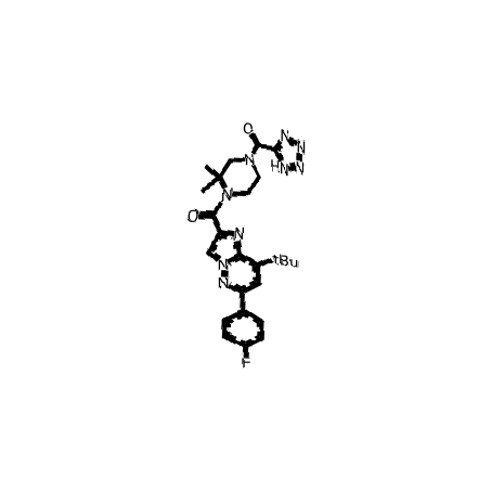 CC(C)(C)c1cc(-c2ccc(F)cc2)nn2cc(C(=O)N3CCN(C(=O)c4nnn[nH]4)CC3(C)C)nc12